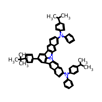 CC(C)c1ccc(N(c2ccccc2)c2ccc3cc4c5cc(-c6ccc(C(C)(C)C)cc6)cc6c7cc8ccc(N(c9ccccc9)c9ccc(C(C)C)cc9)cc8cc7n(c4cc3c2)c56)cc1